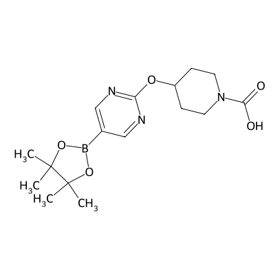 CC1(C)OB(c2cnc(OC3CCN(C(=O)O)CC3)nc2)OC1(C)C